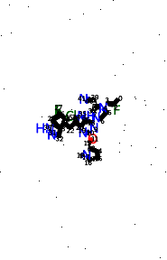 CC(F)=CN1CCN(c2nc(OC[C@@H]3CCCN3C)nc3c(Cc4c(Cl)c(F)cc5[nH]ncc45)c[nH]c23)C[C@@H]1CC#N